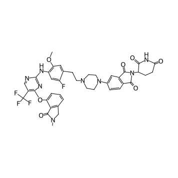 COc1cc(CCN2CCN(c3ccc4c(c3)C(=O)N(C3CCC(=O)NC3=O)C4=O)CC2)c(F)cc1Nc1ncc(C(F)(F)F)c(Oc2cccc3c2C(=O)N(C)C3)n1